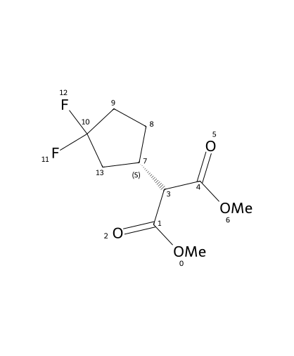 COC(=O)C(C(=O)OC)[C@H]1CCC(F)(F)C1